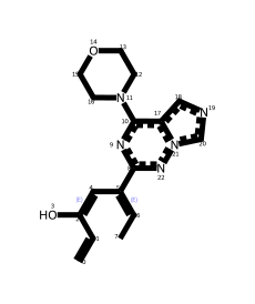 C=C/C(O)=C\C(=C/C)c1nc(N2CCOCC2)c2cncn2n1